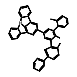 Cc1ccccc1-c1cc(-c2cc3c4ccccc4n4c5ccccc5c(c2)c34)cc(-c2cc(-c3ccccc3)ccc2C)c1C